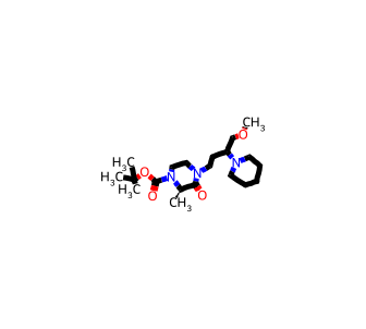 COCC(CCN1CCN(C(=O)OC(C)(C)C)[C@@H](C)C1=O)N1CCCCC1